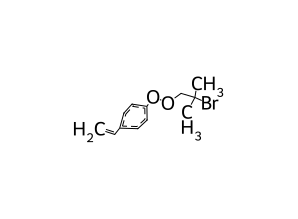 C=Cc1ccc(OOCC(C)(C)Br)cc1